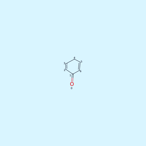 O=C1C=[C]CC=C1